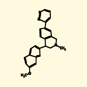 COc1ccc2ccc(C3CN(C)Cc4cc(-c5cccnn5)ccc43)cc2c1